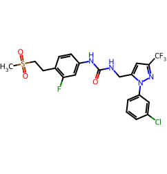 CS(=O)(=O)CCc1ccc(NC(=O)NCc2cc(C(F)(F)F)nn2-c2cccc(Cl)c2)cc1F